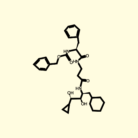 O=C(CCNC(=O)[C@H](Cc1ccccc1)NC(=O)OCc1ccccc1)N[C@@H](CC1CCCCC1)[C@@H](O)[C@@H](O)C1CC1